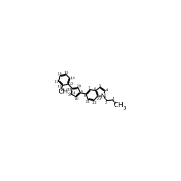 CCCn1ccc2cc(C3=CCC(c4ccccc4C)=C3)ccc21